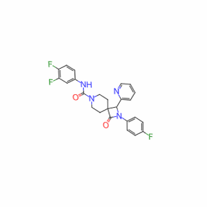 O=C(Nc1ccc(F)c(F)c1)N1CCC2(CC1)C(=O)N(c1ccc(F)cc1)C2c1ccccn1